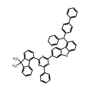 CC1(C)c2ccccc2-c2c(-c3nc(-c4ccccc4)nc(-c4ccc5c(c4)oc4cccc(N(C6=CCCC=C6)c6ccc(-c7ccccc7)cc6)c45)n3)cccc21